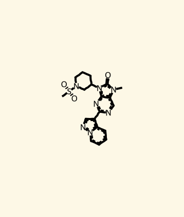 Cn1c(=O)n(C2CCCN(S(C)(=O)=O)C2)c2nc(-c3cnn4ccccc34)ncc21